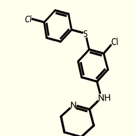 Clc1ccc(Sc2ccc(NC3=NCCCC3)cc2Cl)cc1